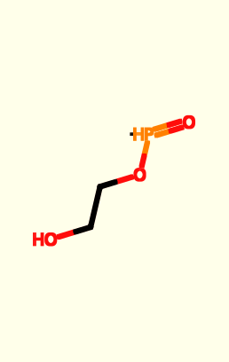 O=[PH]OCCO